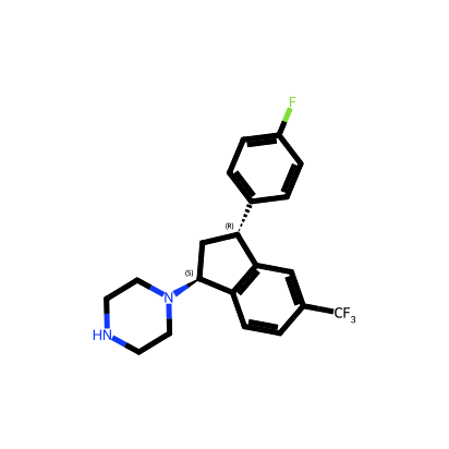 Fc1ccc([C@H]2C[C@H](N3CCNCC3)c3ccc(C(F)(F)F)cc32)cc1